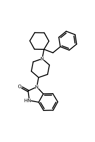 O=c1[nH]c2ccccc2n1C1CCN(C2(Cc3ccccc3)CCCCC2)CC1